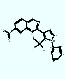 O=[N+]([O-])c1ccc2cnc(-c3cnn(-c4ccccc4)c3C(F)(F)F)nc2c1